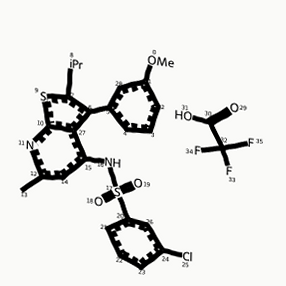 COc1cccc(-c2c(C(C)C)sc3nc(C)cc(NS(=O)(=O)c4cccc(Cl)c4)c23)c1.O=C(O)C(F)(F)F